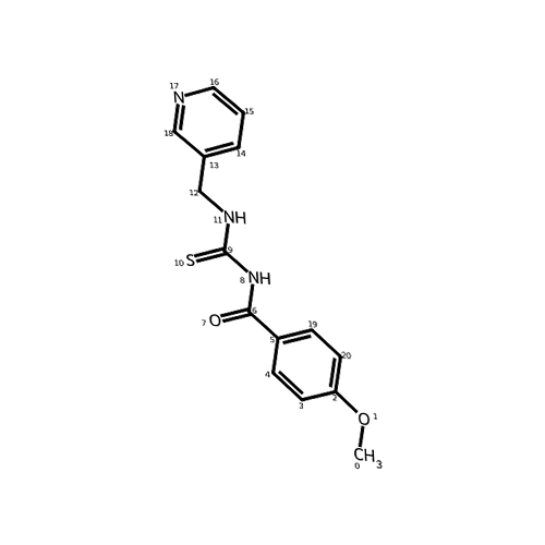 COc1ccc(C(=O)NC(=S)NCc2cccnc2)cc1